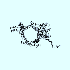 CCCCCCCCCCCCCCCCCC(=O)NCCC(=O)N[C@@H](CC(C)C)C(=O)NC(CCC(N)O)C(=O)N[C@H]1CSCc2cc3ccccc3cc2CSC[C@@H](C(=O)N[C@H](CC(C)C)C(=O)N2CCC[C@@H]2C(=O)O)NC(=O)[C@H](CCC(=O)O)NC(=O)CNC(=O)[C@H](C(C)O)NC(=O)[C@H](CCC(=O)O)NC(=O)[C@@H]2CCCN2C(=O)[C@H](CC(=O)O)NC1=O